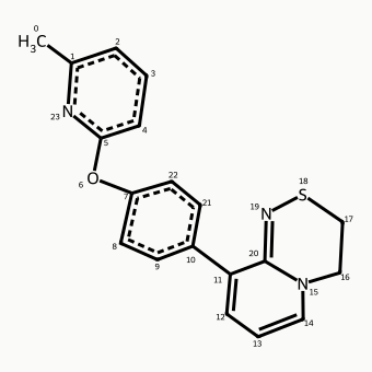 Cc1cccc(Oc2ccc(C3=CC=CN4CCSN=C34)cc2)n1